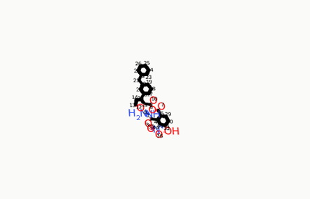 NNC(=O)c1c(C(=O)OC(=O)c2occc2-c2cccc(Cc3ccccc3)c2)ccc(O)c1[N+](=O)[O-]